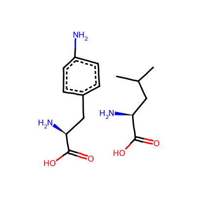 CC(C)C[C@H](N)C(=O)O.Nc1ccc(C[C@H](N)C(=O)O)cc1